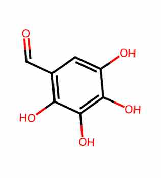 O=Cc1cc(O)c(O)c(O)c1O